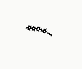 C=CCCCOc1ccc(CCC2CCC(c3ccc(-c4ccc(C)cc4)c(F)c3F)CC2)cc1F